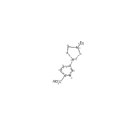 CCN1CCN(c2ccc(C(=O)O)nn2)CC1